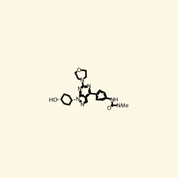 CNC(=O)Nc1ccc(-c2nc(N3CCOCC3)nc3c2cnn3[C@H]2CC[C@@H](O)CC2)cc1